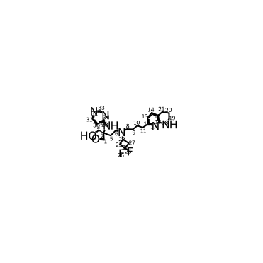 O=C[C@@](CO)(CCN(CCCCc1ccc2c(n1)NCCC2)C1CC(F)(F)C1)Nc1ccncn1